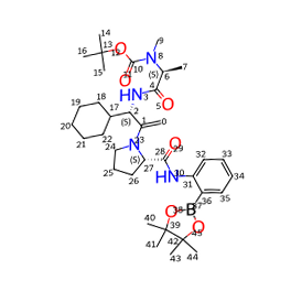 C=C([C@@H](NC(=O)[C@H](C)N(C)C(=O)OC(C)(C)C)C1CCCCC1)N1CCC[C@H]1C(=O)Nc1ccccc1B1OC(C)(C)C(C)(C)O1